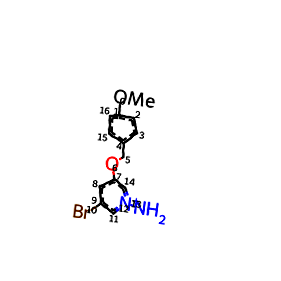 COc1ccc(COc2cc(Br)c[n+](N)c2)cc1